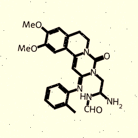 COc1cc2c(cc1OC)-c1cc(=Nc3ccccc3C)n(CC(N)NC=O)c(=O)n1CC2